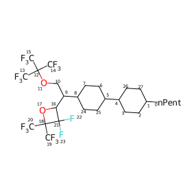 CCCCCC1CCC(C2CCC(C(COC(C(F)(F)F)(C(F)(F)F)C(F)(F)F)C3OC(C(F)(F)F)(C(F)(F)F)C3(F)F)CC2)CC1